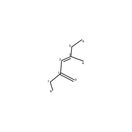 C=C(/C=C(\C)CC)CC